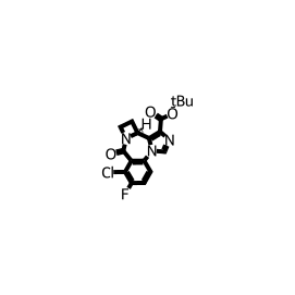 CC(C)(C)OC(=O)c1ncn2c1[C@@H]1CCN1C(=O)c1c-2ccc(F)c1Cl